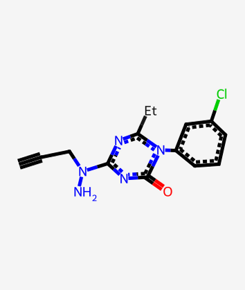 C#CCN(N)c1nc(CC)n(-c2cccc(Cl)c2)c(=O)n1